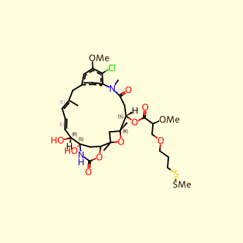 COc1cc2cc(c1Cl)N(C)C(=O)C[C@H](OC(=O)C(COCCCSSC)OC)[C@@]1(C)CC(C)(O1)C1C[C@@](O)(NC(=O)O1)[C@H](O)/C=C/C=C(\C)C2